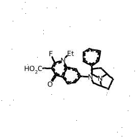 CCn1c(F)c(C(=O)O)c(=O)c2ccc(N3CCC4CCC(C3)N4Cc3ccccc3)cc21